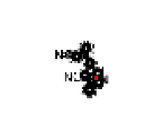 N#Cc1ccc(-c2c(C#N)cccc2-c2ccc(-n3c4ccccc4c4cc(C#N)ccc43)cc2)c(-n2c3ccccc3c3ccccc32)c1